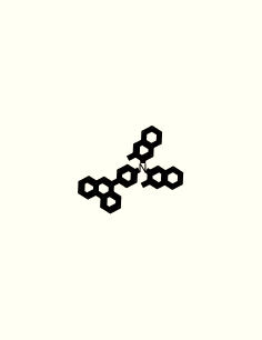 Cc1cc2c(cc1N(c1ccc(-c3cc4ccccc4c4ccccc34)cc1)c1cc3c(cc1C)CCCC3)CCCC2